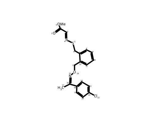 COC(=O)C=NSCc1ccccc1CON=C(C)c1ccc(Cl)cc1